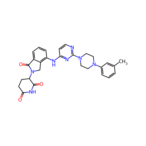 Cc1cccc(N2CCN(c3nccc(Nc4cccc5c4CN(C4CCC(=O)NC4=O)C5=O)n3)CC2)c1